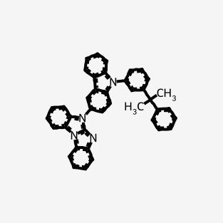 CC(C)(c1ccccc1)c1cccc(-n2c3ccccc3c3cc(-n4c5ccccc5n5c6ccccc6nc45)ccc32)c1